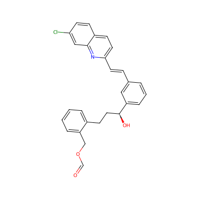 O=COCc1ccccc1CC[C@H](O)c1cccc(/C=C/c2ccc3ccc(Cl)cc3n2)c1